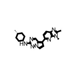 Cc1nc2ccc(-c3ccn4nc(N[C@H]5CC[C@@H](C)CC5)ncc34)nc2n1C